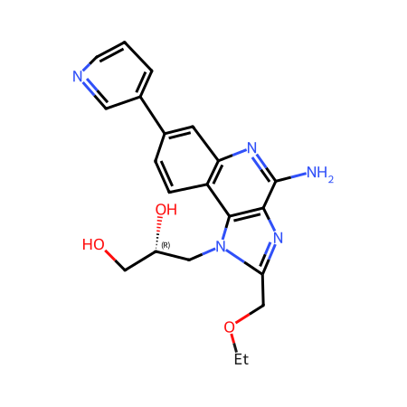 CCOCc1nc2c(N)nc3cc(-c4cccnc4)ccc3c2n1C[C@@H](O)CO